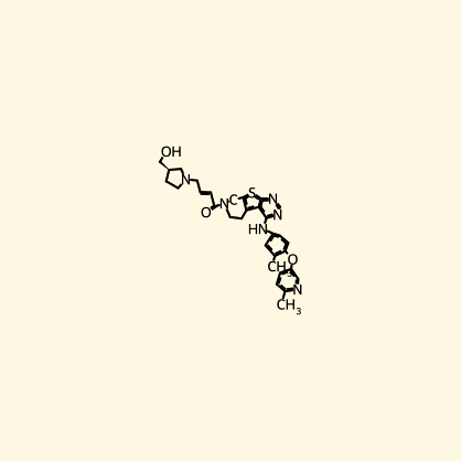 Cc1ccc(Oc2ccc(Nc3ncnc4sc5c(c34)CCN(C(=O)/C=C/CN3CC[C@@H](CO)C3)C5)cc2C)cn1